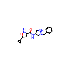 O=C(NC1CNN(Cc2ccccc2)C1)C1CC(C2CC2)ON1